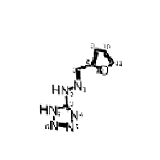 C(=NNc1nnn[nH]1)c1ccco1